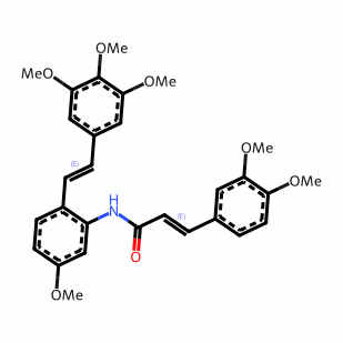 COc1ccc(/C=C/c2cc(OC)c(OC)c(OC)c2)c(NC(=O)/C=C/c2ccc(OC)c(OC)c2)c1